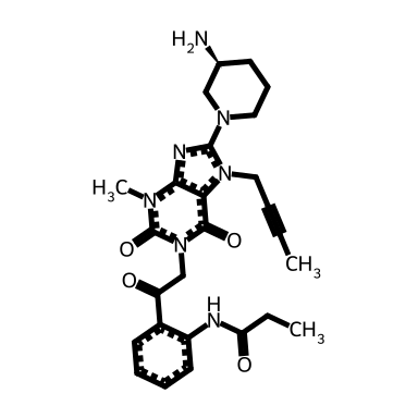 CC#CCn1c(N2CCC[C@H](N)C2)nc2c1c(=O)n(CC(=O)c1ccccc1NC(=O)CC)c(=O)n2C